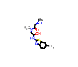 CN(CC(O)Nc1nc2ccc(C(F)(F)F)cc2s1)C(=O)CNC(C)(C)C